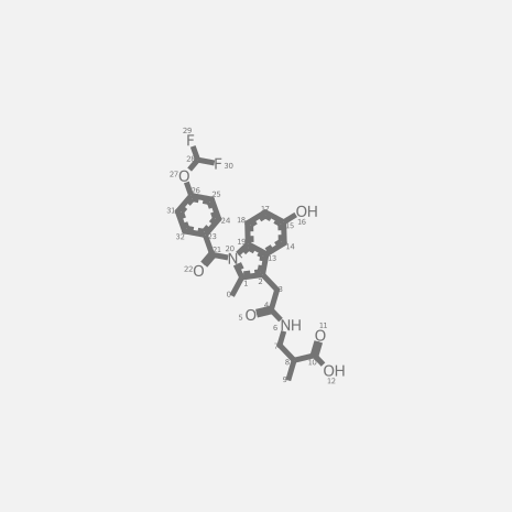 Cc1c(CC(=O)NCC(C)C(=O)O)c2cc(O)ccc2n1C(=O)c1ccc(OC(F)F)cc1